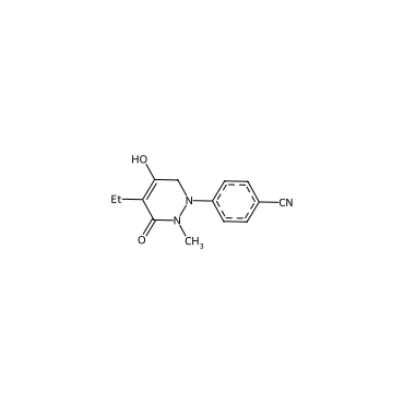 CCC1=C(O)CN(c2ccc(C#N)cc2)N(C)C1=O